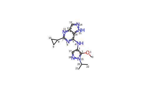 COc1c(Nc2nc(C3CC3)nc3cn[nH]c23)cnn1C(C)C